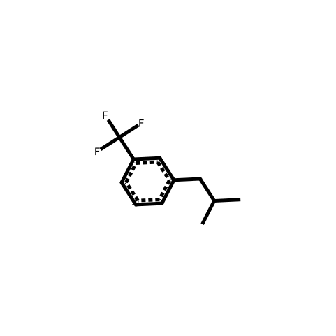 CC(C)Cc1c[c]cc(C(F)(F)F)c1